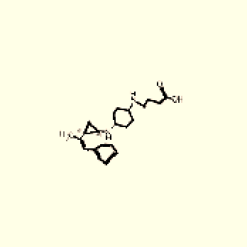 CC(=Cc1ccccc1)[C@@H]1C[C@H]1N[C@H]1CC[C@H](NCCCC(=O)O)CC1